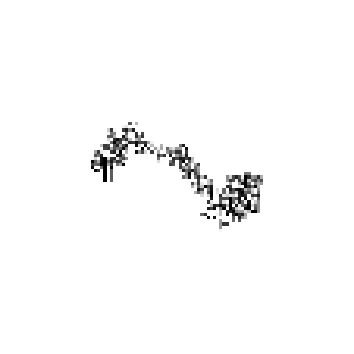 COc1cc(N2CCC(N3CCN(C(=O)CCCCCCSc4cccc5c4CN(C4CCC(=O)NC4=O)C5=O)CC3)CC2)ccc1Nc1ncc(Cl)c(Nc2ccccc2P(C)(C)=O)n1